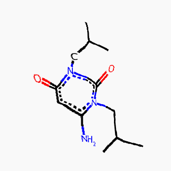 CC(C)Cn1c(N)cc(=O)n(CC(C)C)c1=O